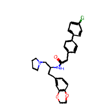 O=C(Cc1ccc(-c2ccc(Cl)cc2)cc1)NC(Cc1ccc2c(c1)OCCO2)CN1CCCC1